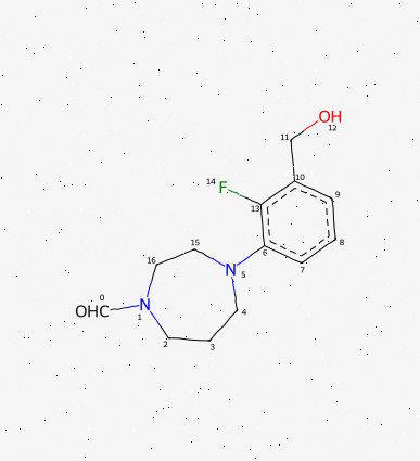 O=CN1CCCN(c2cccc(CO)c2F)CC1